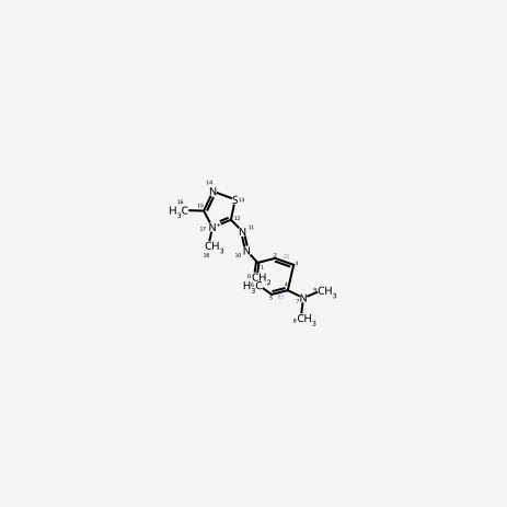 C=C(/C=C\C(=C/C)N(C)C)N=Nc1snc(C)[n+]1C